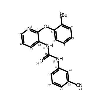 CC(C)(C)c1ccccc1Oc1ncccc1NC(=O)Nc1cccc(C#N)c1